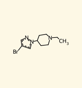 CCN1CCC(n2cc(Br)cn2)CC1